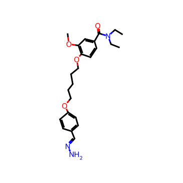 CCN(CC)C(=O)c1ccc(OCCCCCOc2ccc(C=NN)cc2)c(OC)c1